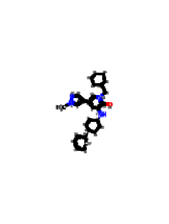 Cn1cc(-c2cc(N[C@H]3CC[C@@H](c4ccccc4)CC3)c(=O)n(CC3CCCCC3)c2)cn1